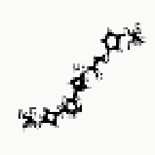 O=C(COC1CCC(OC(F)(F)F)C1)NC12CC(c3nnc(C4CC(OC(F)(F)F)C4)o3)(C1)C2